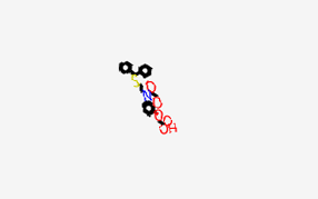 O=C(O)COc1cccc2c1OCC(=O)N2CCSC(c1ccccc1)c1ccccc1